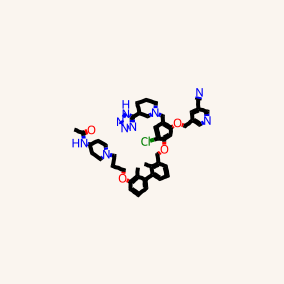 CC(=O)NC1CCN(CCCOc2cccc(-c3cccc(COc4cc(OCc5cncc(C#N)c5)c(CN5CCCC(c6nnn[nH]6)C5)cc4Cl)c3C)c2C)CC1